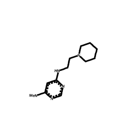 CNc1cc(NCCN2CCCCC2)ncn1